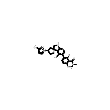 CN(C)C(=O)c1c(N)ccc(-c2cnc3c(c2Cl)[C@@]2(CC[C@@H](n4ccc(C(F)(F)F)n4)C2)CN3)c1F